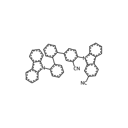 N#Cc1ccc2c3ccccc3n(-c3ccc(-c4ccccc4-c4ccccc4-n4c5ccccc5c5ccccc54)cc3C#N)c2c1